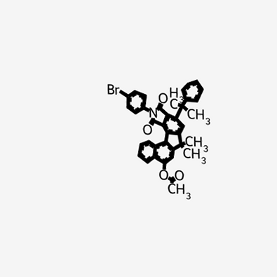 CC(=O)Oc1cc2c(c3ccccc13)-c1c(cc(C(C)(C)c3ccccc3)c3c1C(=O)N(c1ccc(Br)cc1)C3=O)C2(C)C